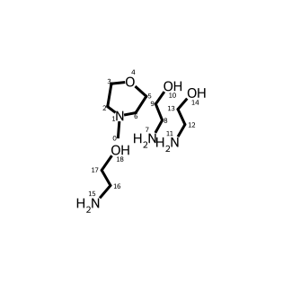 CN1CCOCC1.NCCO.NCCO.NCCO